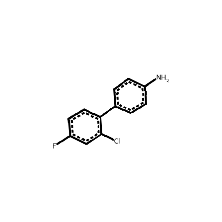 Nc1ccc(-c2ccc(F)cc2Cl)cc1